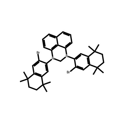 CC1(C)CCC(C)(C)c2cc(N3CN(c4cc5c(cc4Br)C(C)(C)CCC5(C)C)c4cccc5cccc3c45)c(Br)cc21